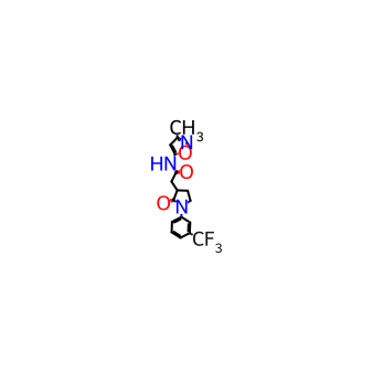 Cc1cc(NC(=O)CC2CCN(c3cccc(C(F)(F)F)c3)C2=O)on1